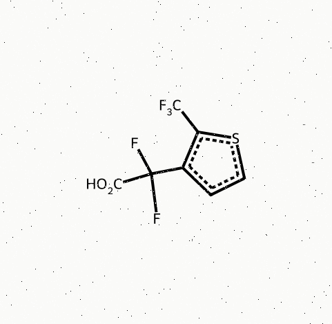 O=C(O)C(F)(F)c1ccsc1C(F)(F)F